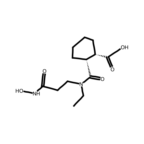 CCN(CCC(=O)NO)C(=O)[C@@H]1CCCC[C@@H]1C(=O)O